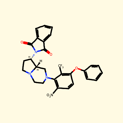 O=C1c2ccccc2C(=O)N1[C@H]1CCN2CCN(c3c([N+](=O)[O-])ccc(Oc4ccccc4)c3C(F)(F)F)C[C@@H]12